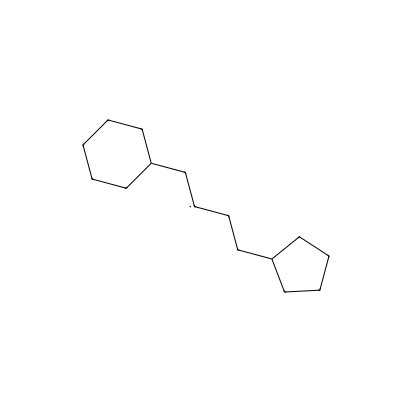 [CH](CCC1CCCC1)CC1CCCCC1